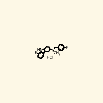 CN(Cc1ccc(F)cc1)C1CCc2[nH]c3c(F)cccc3c2C1.Cl